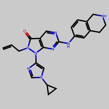 C=CCn1c(=O)c2cnc(Nc3ccc4c(c3)CCNC4)nc2n1-c1cn(C2CC2)cn1